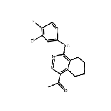 CC(=O)c1cnc(Nc2ccc(F)c(Cl)c2)c2c1CCCC2